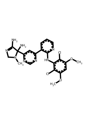 COc1cc(OC)c(Cl)c(Nc2ncccc2-c2cc(C3(N)C(N)=NCN3C)ncn2)c1Cl